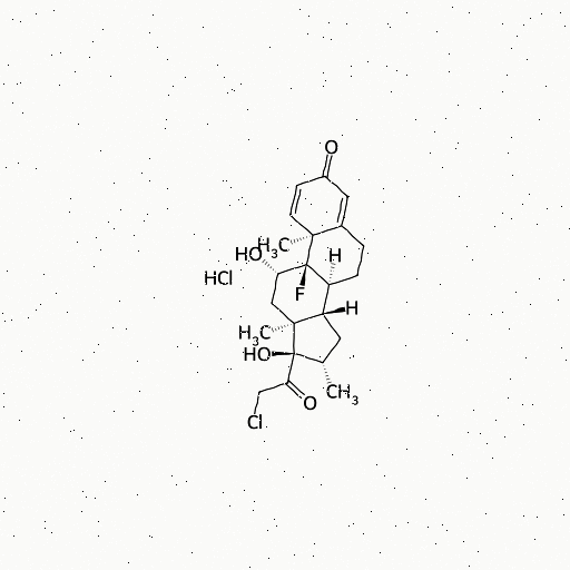 C[C@H]1C[C@H]2[C@@H]3CCC4=CC(=O)C=C[C@]4(C)[C@@]3(F)[C@@H](O)C[C@]2(C)[C@@]1(O)C(=O)CCl.Cl